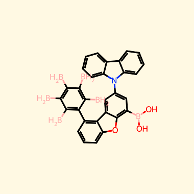 Bc1c(B)c(B)c(-c2cccc3oc4c(B(O)O)cc(-n5c6ccccc6c6ccccc65)cc4c23)c(B)c1B